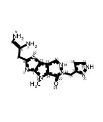 Cn1c2nc(C/C(N)=C/N)sc2c2cnn(Cc3cc[nH]n3)c(=O)c21